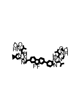 CCN(C(=O)C(NC(=O)OC)C(C)C)[C@H](c1nc2ccc(-c3ccc4c(c3)C(F)(F)c3cc(-c5cnc([C@@H]6CC7(CC7)CN6C(=O)[C@@H](NC(=O)OC)C(C)C)[nH]5)ccc3-4)cc2[nH]1)C(C)C